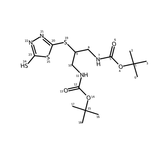 CC(C)(C)OC(=O)NCC(CNC(=O)OC(C)(C)C)Sc1nnc(S)s1